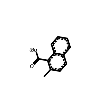 Cc1ccc2ccccc2c1C(=O)C(C)(C)C